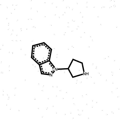 c1ccc2c(c1)cnn2C1CCNC1